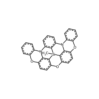 C[Si]12c3c4cccc3N3c5ccccc5Oc5ccc(c1c53)Oc1ccc3c(c12)N4c1ccccc1O3